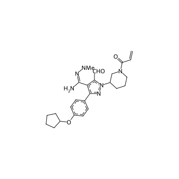 C=CC(=O)N1CCCC(n2nc(-c3ccc(OC4CCCC4)cc3)c(/C(N)=N\NC)c2C=O)C1